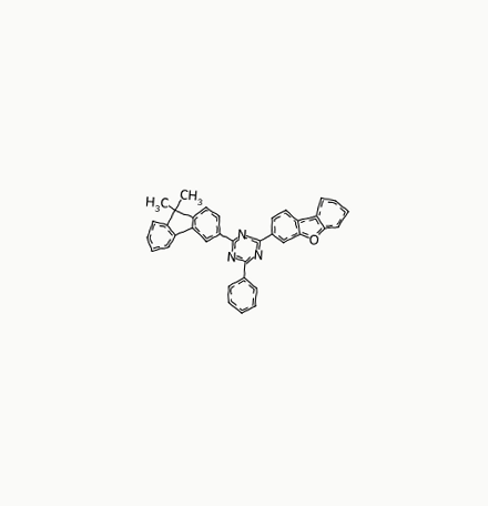 CC1(C)c2ccccc2-c2cc(-c3nc(-c4ccccc4)nc(-c4ccc5c(c4)oc4ccccc45)n3)ccc21